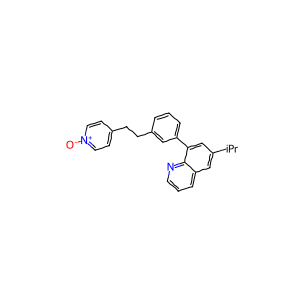 CC(C)c1cc(-c2cccc(CCc3cc[n+]([O-])cc3)c2)c2ncccc2c1